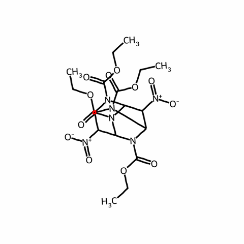 CCOC(=O)N1C2C([N+](=O)[O-])C3N(C(=O)OCC)C1C([N+](=O)[O-])C(N2C(=O)OCC)N3C(=O)OCC